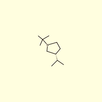 CC(C)[C@H]1CCN(C(C)(C)C)C1